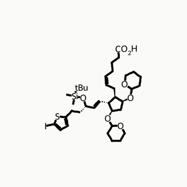 CC(C)(C)[Si](C)(C)O[C@H](/C=C/[C@@H]1[C@@H](C/C=C\CCCC(=O)O)[C@@H](OC2CCCCO2)C[C@H]1OC1CCCCO1)CCc1ccc(I)s1